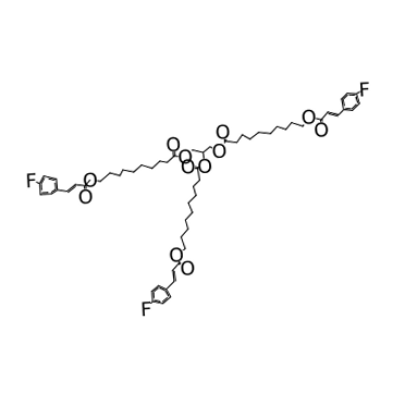 O=C(C=Cc1ccc(F)cc1)OCCCCCCCCCC(=O)OCC(COC(=O)CCCCCCCCCOC(=O)C=Cc1ccc(F)cc1)OC(=O)CCCCCCCCCOC(=O)C=Cc1ccc(F)cc1